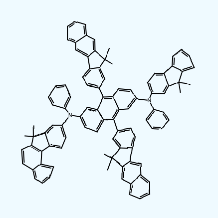 CC1(C)c2ccccc2-c2ccc(N(c3ccccc3)c3ccc4c(-c5ccc6c(c5)C(C)(C)c5cc7ccccc7cc5-6)c5cc(N(c6ccccc6)c6ccc7c(c6)C(C)(C)c6ccc8ccccc8c6-7)ccc5c(-c5ccc6c(c5)C(C)(C)c5cc7ccccc7cc5-6)c4c3)cc21